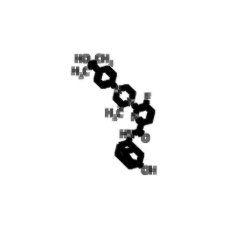 C[C@@H]1CN(c2ccc(C(C)(C)O)cc2)CCN1c1nc(C(=O)NC2C3CC4CC2CC(O)(C4)C3)ccc1F